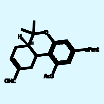 CCCCCc1cc(OC(C)=O)c2c(c1)OC(C)(C)[C@@H]1CC=C(C=O)CC21